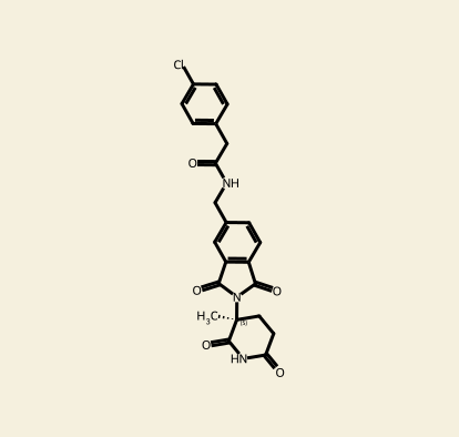 C[C@]1(N2C(=O)c3ccc(CNC(=O)Cc4ccc(Cl)cc4)cc3C2=O)CCC(=O)NC1=O